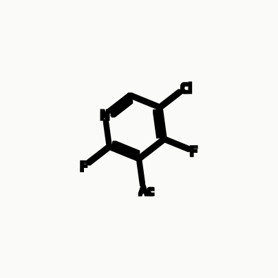 CC(=O)c1c(F)ncc(Cl)c1F